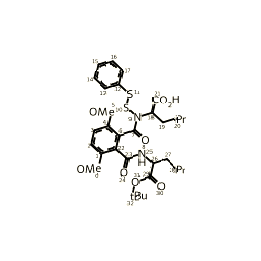 COc1ccc(OC)c(C(=O)N(SSc2ccccc2)C(CC(C)C)C(=O)O)c1C(=O)NC(CC(C)C)C(=O)OC(C)(C)C